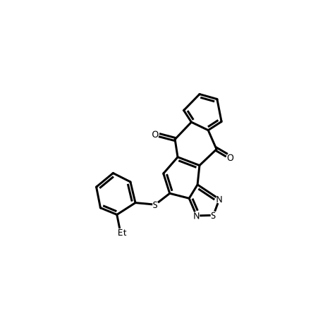 CCc1ccccc1Sc1cc2c(c3nsnc13)C(=O)c1ccccc1C2=O